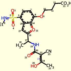 CCNS(=O)(=O)c1ccc(OCCCC(=O)O)c2oc(C(C)NC(=O)/C(C#N)=C(/C)O)cc12